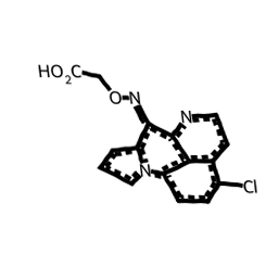 O=C(O)CO/N=c1/c2nccc3c(Cl)ccc(c32)n2cccc12